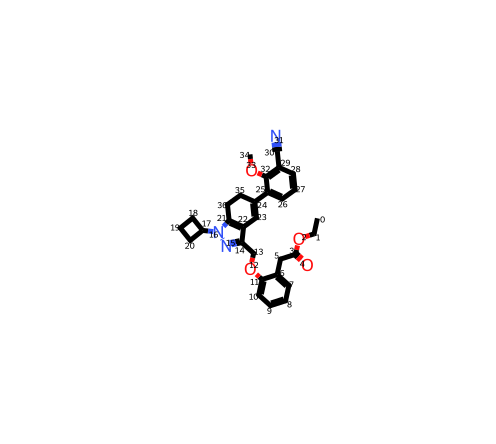 CCOC(=O)Cc1ccccc1OCc1nn(C2CCC2)c2c1C=C(c1cccc(C#N)c1OC)CC2